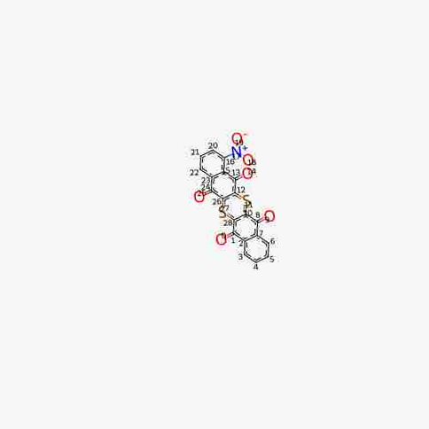 O=c1c2ccccc2c(=O)c2sc3c(=O)c4c([N+](=O)[O-])cccc4c(=O)c3sc12